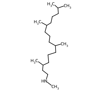 CNCCC(C)CCCC(C)CCCC(C)CCCC(C)C